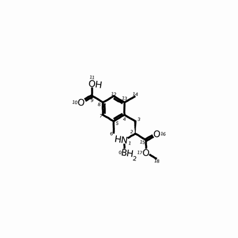 BN[C@@H](Cc1c(C)cc(C(=O)O)cc1C)C(=O)OC